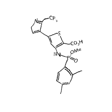 COP(=O)(Nc1cc(C2=CCN=C2C(F)(F)F)sc1C(=O)O)c1ccc(C)cc1C